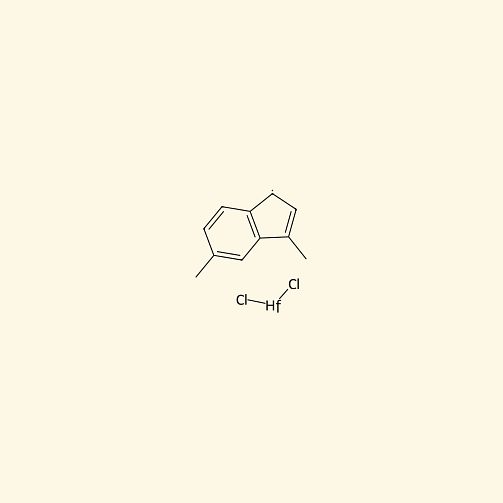 CC1=C[CH]c2ccc(C)cc21.[Cl][Hf][Cl]